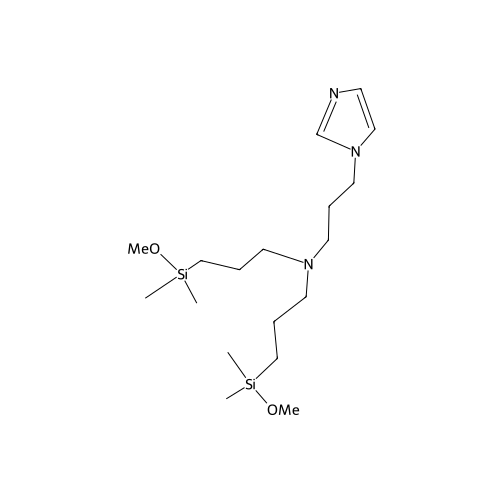 CO[Si](C)(C)CCCN(CCCn1ccnc1)CCC[Si](C)(C)OC